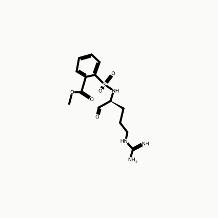 COC(=O)c1ccccc1S(=O)(=O)N[C@H]([C]=O)CCCNC(=N)N